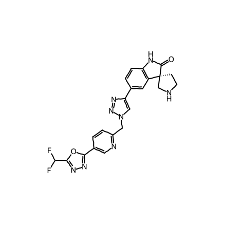 O=C1Nc2ccc(-c3cn(Cc4ccc(-c5nnc(C(F)F)o5)cn4)nn3)cc2[C@@]12CCNC2